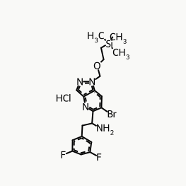 C[Si](C)(C)CCOCn1ncc2nc(C(N)Cc3cc(F)cc(F)c3)c(Br)cc21.Cl